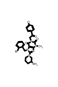 Cn1c(=O)n(CC(=O)c2ccc(Cl)cc2)c(=O)c2c1nc(N1CCCC(N)C1)n2Cc1ccccc1Br